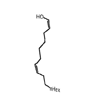 CCCCCCCC/C=C\CCCC/C=C\O